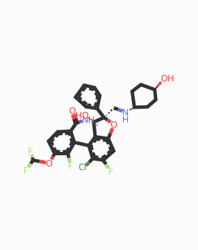 NC(=O)c1ccc(OC(F)F)c(F)c1-c1c(Cl)c(F)cc2c1[C@H](O)[C@@](CN[C@H]1CC[C@H](O)CC1)(c1ccccc1)O2